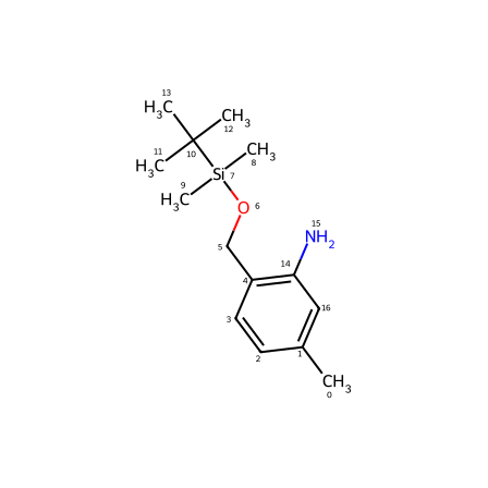 Cc1ccc(CO[Si](C)(C)C(C)(C)C)c(N)c1